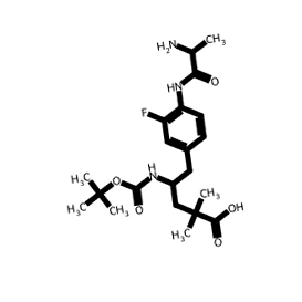 CC(N)C(=O)Nc1ccc(CC(CC(C)(C)C(=O)O)NC(=O)OC(C)(C)C)cc1F